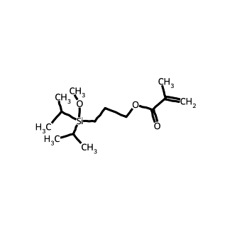 C=C(C)C(=O)OCCC[Si](OC)(C(C)C)C(C)C